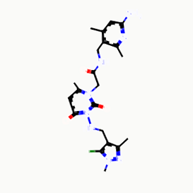 Cc1cc(N)nc(C)c1CNC(=O)Cn1c(C)cc(=O)n(NCc2c(C)nn(C)c2Cl)c1=O